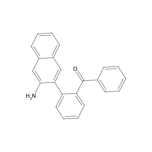 Nc1cc2ccccc2cc1-c1ccccc1C(=O)c1ccccc1